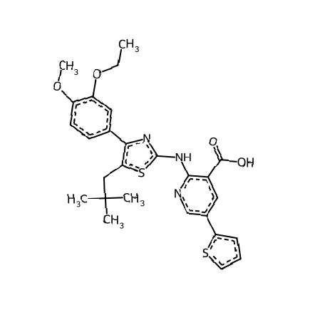 CCOc1cc(-c2nc(Nc3ncc(-c4cccs4)cc3C(=O)O)sc2CC(C)(C)C)ccc1OC